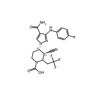 N#C[C@H]1C(CC(F)(F)F)N(C(=O)O)CC[C@@H]1n1cc(C(N)=O)c(Nc2ccc(F)cc2)n1